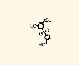 Cc1cc(C(C)(C)C)cc(S(=O)(=O)c2ccc(CO)s2)c1